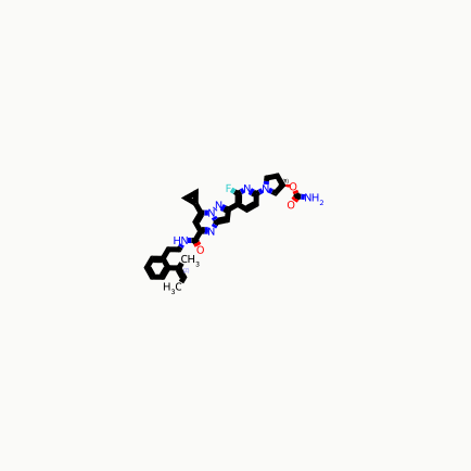 C/C=C(/C)c1ccccc1CCNC(=O)c1cc(C2CC2)n2nc(-c3ccc(N4CC[C@@H](OC(N)=O)C4)nc3F)cc2n1